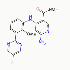 CNC(=O)c1cnc(N)cc1Nc1cccc(-c2ncc(F)cn2)c1OC